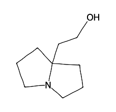 OCCC12CCCN1CCC2